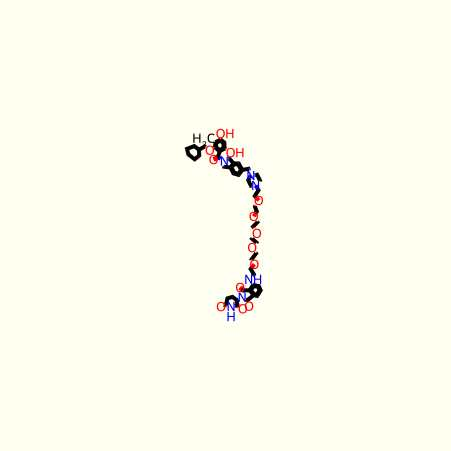 Cc1c(O)cc(O)c(C(=O)N2Cc3ccc(CN4CCN(CCOCCOCCOCCOCCOCCNc5cccc6c5C(=O)N(C5CCC(=O)NC5=O)C6=O)CC4)cc3C2)c1OCC1CCCCC1